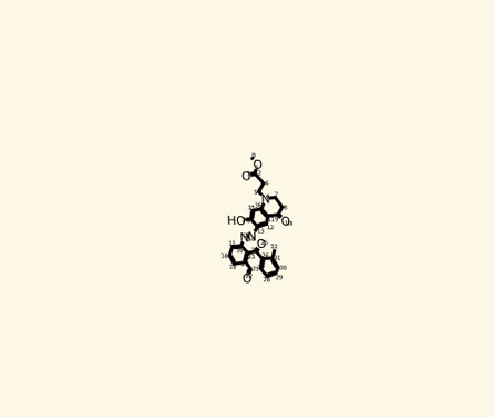 COC(=O)CCN1CCC(=O)c2cc(/N=N/c3cccc(C=O)c3C(=O)c3ccccc3C)c(O)cc21